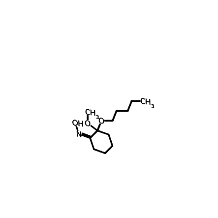 CCCCCOC1(OC)CCCCC1=NO